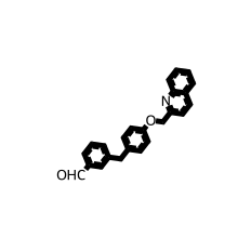 O=Cc1cccc(Cc2ccc(OCc3ccc4ccccc4n3)cc2)c1